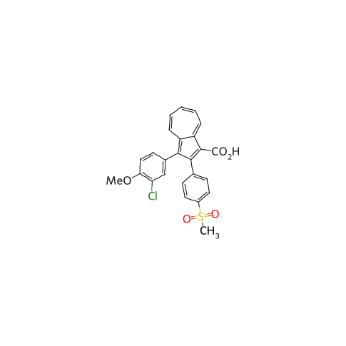 COc1ccc(-c2c3cccccc-3c(C(=O)O)c2-c2ccc(S(C)(=O)=O)cc2)cc1Cl